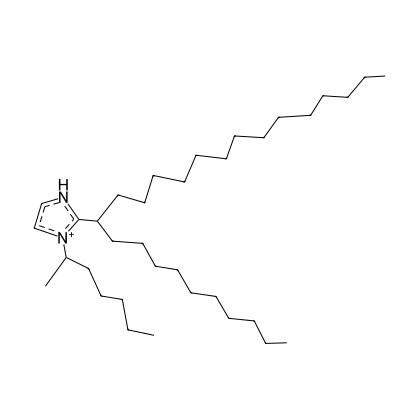 CCCCCCCCCCCCCCC(CCCCCCCCCC)c1[nH]cc[n+]1C(C)CCCCC